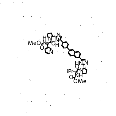 COC(=O)N[C@H](C(=O)N1CCC[C@H]1c1ncc(-c2ccc(-c3ccc4cc(-c5cnc([C@@H]6CCCN6C(=O)[C@@H](NC(=O)OC)C(C)C)[nH]5)ccc4c3)cc2)[nH]1)c1cccnc1